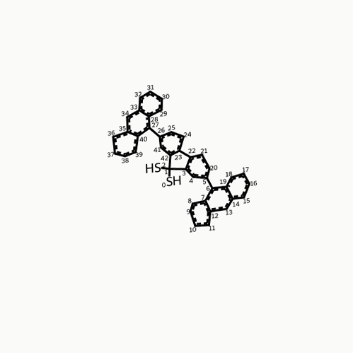 SC1(S)c2cc(-c3c4ccccc4cc4ccccc34)ccc2-c2ccc(-c3c4ccccc4cc4ccccc34)cc21